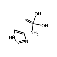 NP(O)(O)=S.[c]1c[nH]nn1